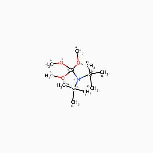 CO[Si](OC)(OC)N([Si](C)(C)C)[Si](C)(C)C